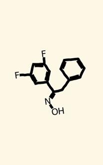 O/N=C(\Cc1ccccc1)c1cc(F)cc(F)c1